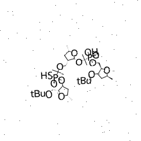 C[C@H]1C[C@@H](COC(C)(C)P(=O)(S)OC2C[C@H](C)O[C@@H]2COC(C)(C)C)[C@@H](OC(C)(C)P(=O)(O)OC[C@H]2O[C@@H](C)CC2OC(C)(C)C)O1